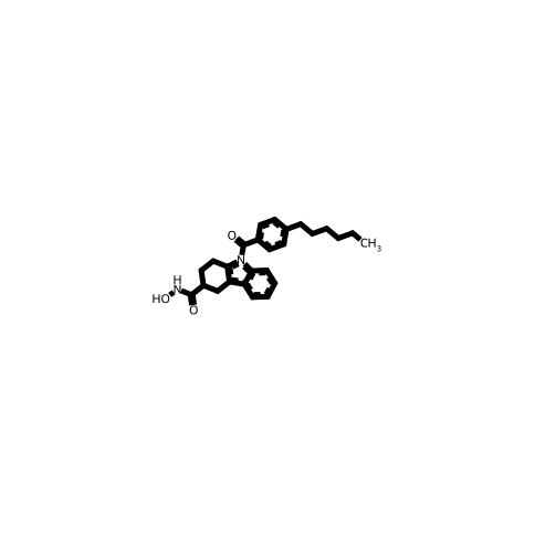 CCCCCCc1ccc(C(=O)n2c3c(c4ccccc42)CC(C(=O)NO)CC3)cc1